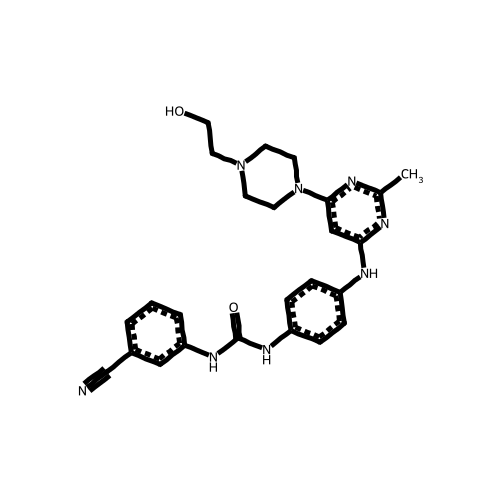 Cc1nc(Nc2ccc(NC(=O)Nc3cccc(C#N)c3)cc2)cc(N2CCN(CCO)CC2)n1